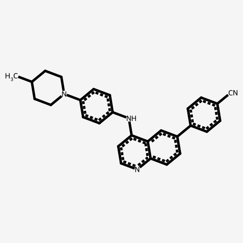 CC1CCN(c2ccc(Nc3ccnc4ccc(-c5ccc(C#N)cc5)cc34)cc2)CC1